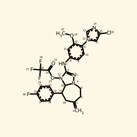 C=C1CCN2N=C(Nc3ccc(-n4cnc(Cl)c4)c(OC)c3)N(OC(=O)C(F)(F)F)C2C(c2ccc(F)cc2)C1